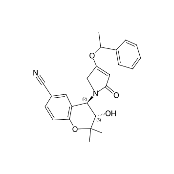 CC(OC1=CC(=O)N([C@@H]2c3cc(C#N)ccc3OC(C)(C)[C@H]2O)C1)c1ccccc1